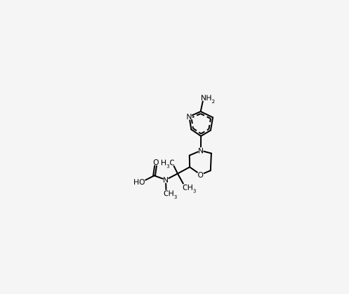 CN(C(=O)O)C(C)(C)C1CN(c2ccc(N)nc2)CCO1